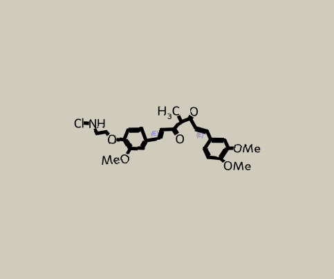 COc1ccc(/C=C/C(=O)C(C)C(=O)/C=C/c2ccc(OCCNCl)c(OC)c2)cc1OC